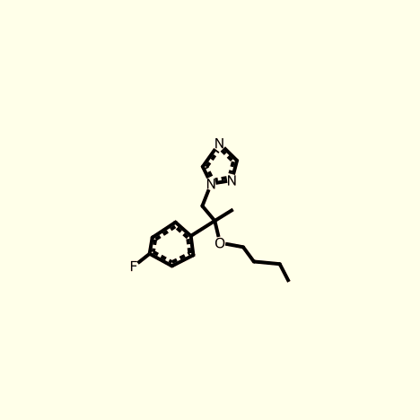 CCCCOC(C)(Cn1cncn1)c1ccc(F)cc1